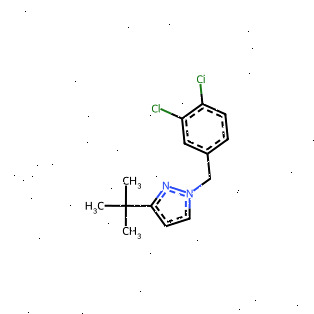 CC(C)(C)c1ccn(Cc2ccc(Cl)c(Cl)c2)n1